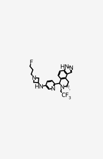 C[C@H]1Cc2c(ccc3[nH]ncc23)C(c2ccc(NC3CN(CCCF)C3)cn2)N1CC(F)(F)F